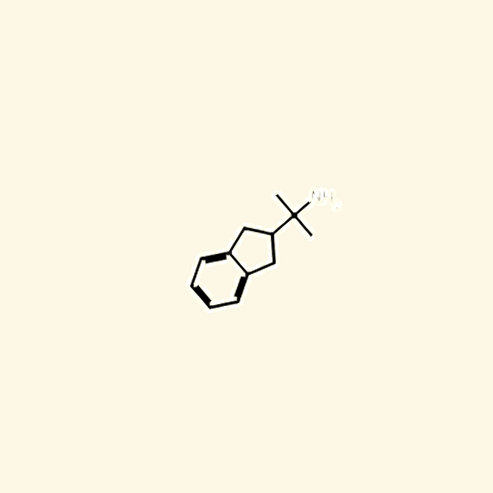 CC(C)(N)C1Cc2ccccc2C1